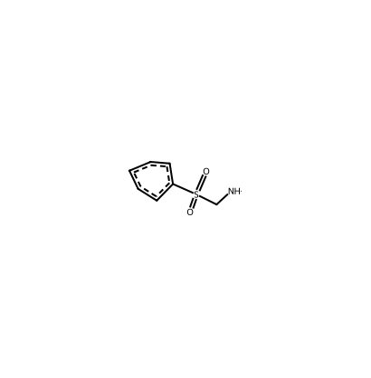 [NH]CS(=O)(=O)c1ccccc1